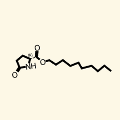 CCCCCCCCCCOC(=O)[C@H]1CCC(=O)N1